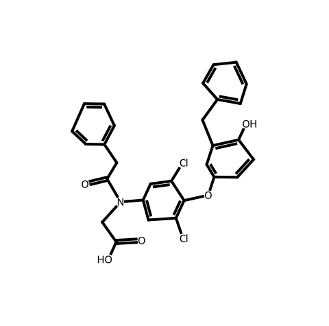 O=C(O)CN(C(=O)Cc1ccccc1)c1cc(Cl)c(Oc2ccc(O)c(Cc3ccccc3)c2)c(Cl)c1